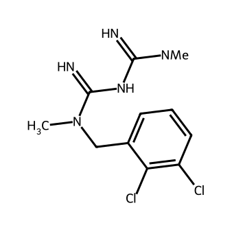 CNC(=N)NC(=N)N(C)Cc1cccc(Cl)c1Cl